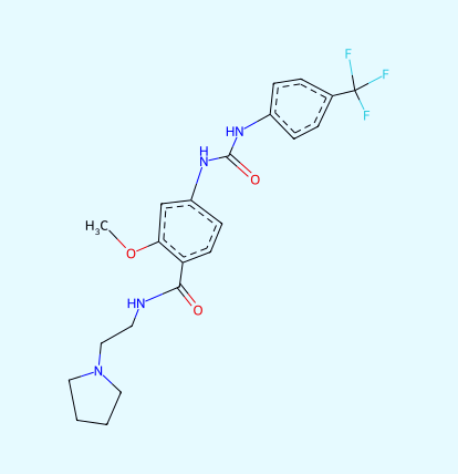 COc1cc(NC(=O)Nc2ccc(C(F)(F)F)cc2)ccc1C(=O)NCCN1CCCC1